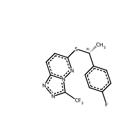 C[C@@H](Sc1ccc2nnc(C(F)(F)F)n2n1)c1ccc(F)cc1